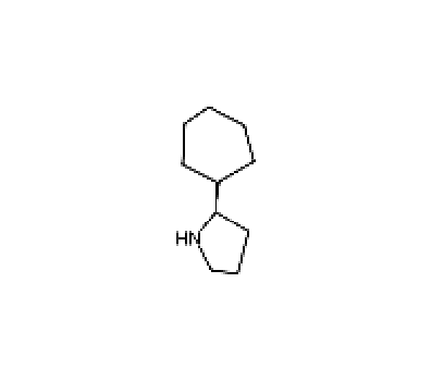 C1CCC([C@H]2CCCN2)CC1